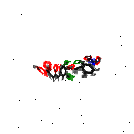 COC(=O)CC(O)Cc1cc(Br)c(OCc2cccc([N+](=O)[O-])c2Cl)c(Br)c1